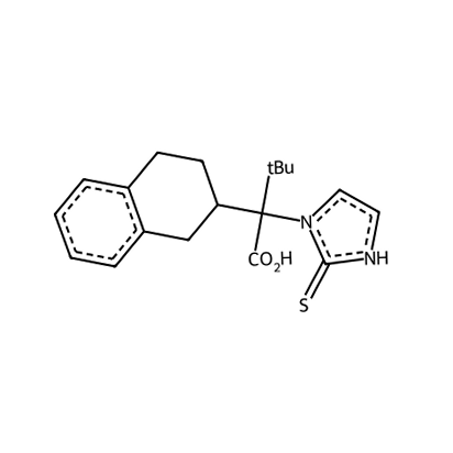 CC(C)(C)C(C(=O)O)(C1CCc2ccccc2C1)n1cc[nH]c1=S